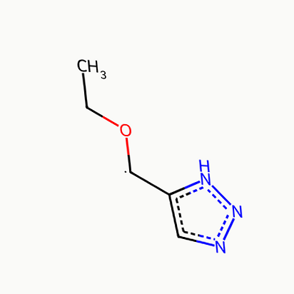 CCO[CH]c1cnn[nH]1